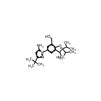 CC(C)[Si]1(C(C)C)Oc2c(CO)cc(-n3nc(C(C)(C)C)cc3N)cc2C1C